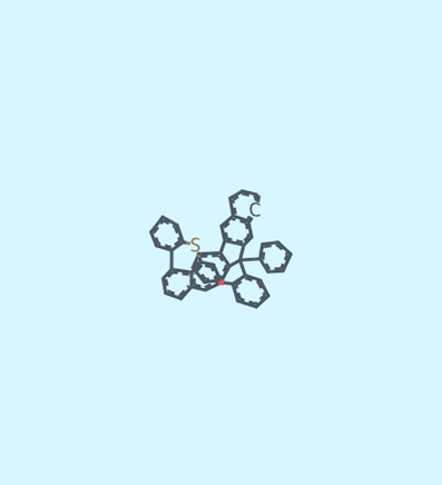 c1ccc(C2(c3ccccc3-c3cc4c5c(cccc5c3)-c3ccccc3S4)c3ccccc3-c3cc4ccccc4cc32)cc1